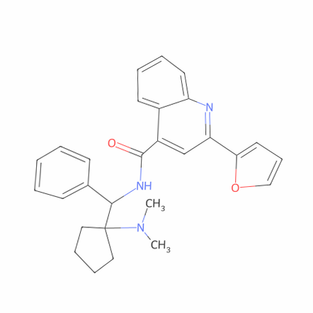 CN(C)C1(C(NC(=O)c2cc(-c3ccco3)nc3ccccc23)c2ccccc2)CCCC1